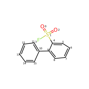 O=S(=O)(F)c1ccccc1-c1ccccc1